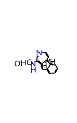 O=CNC1=C2CC3=CC=CC[C@@H]3[C@H]2C=CN=C1